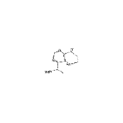 CNC(C)c1ncnc2c1NCCN2